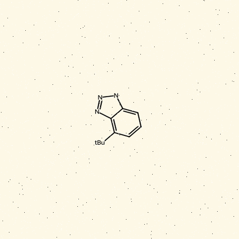 CC(C)(C)c1cccc2c1N=N[N]2